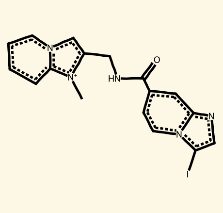 C[n+]1c(CNC(=O)c2ccn3c(I)cnc3c2)cn2ccccc21